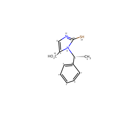 C[C@H](c1ccccc1)n1c(C(=O)O)cnc1S